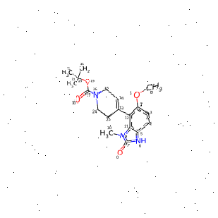 COc1ccc2[nH]c(=O)n(C)c2c1C1=CCN(C(=O)OC(C)(C)C)CC1